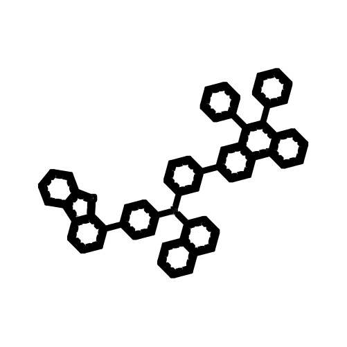 c1ccc(-c2c(-c3ccccc3)c3cc(-c4cccc(N(c5ccc(-c6cccc7c6oc6ccccc67)cc5)c5cccc6ccccc56)c4)ccc3c3ccccc23)cc1